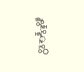 CC(C)(C)OC(=O)NCC(=O)N[C@H]1CCCN(C[C@H]2COc3ccccc3O2)C1